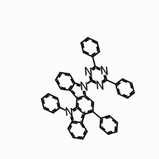 c1ccc(-c2nc(-c3ccccc3)nc(-n3c4ccccc4c4c3cc(-c3ccccc3)c3c5ccccc5n(-c5ccccc5)c34)n2)cc1